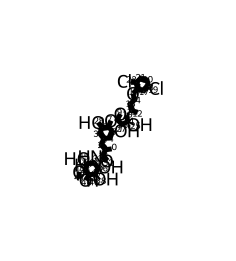 CC(=Cc1ccc(O[C@@H]2O[C@H](C(C)=CCOc3cc(Cl)ccc3Cl)[C@@H](O)[C@@H]2O)c(O)c1)C(=O)N[C@@H]1[C@H](O)[C@@H](O)[C@H]2OCO[C@H]2[C@@H]1O